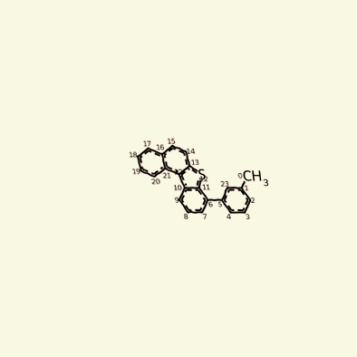 Cc1cccc(-c2cccc3c2sc2ccc4ccccc4c23)c1